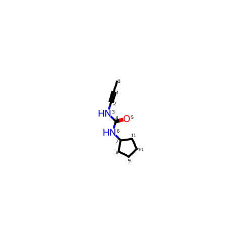 CC#CNC(=O)NC1CCCC1